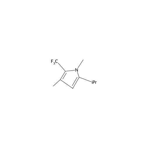 Cc1cc(C(C)C)n(C)c1C(F)(F)F